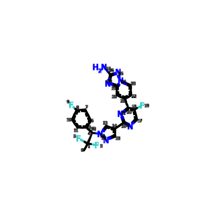 CC(F)(F)[C@@H](c1ccc(F)cc1)n1cc(-c2ncc(F)c(-c3ccn4nc(N)nc4c3)n2)cn1